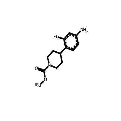 CCc1cc(N)ccc1C1CCN(C(=O)OC(C)(C)C)CC1